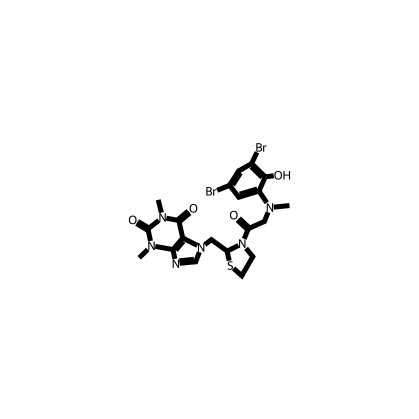 CN(CC(=O)N1CCSC1Cn1cnc2c1c(=O)n(C)c(=O)n2C)c1cc(Br)cc(Br)c1O